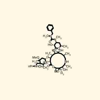 CCCNC[C@]1(O)[C@H](C)O[C@@H](O[C@H]2[C@H](C)[C@@H](O[C@@H]3O[C@H](C)C[C@H](N(C)C(=O)N(C)Cc4ccccc4)[C@H]3O)[C@](C)(O)C[C@@H](C)CN[C@H](C)[C@@H](O)[C@](C)(O)[C@@H](CC)OC(=O)[C@@H]2C)C[C@@]1(C)OC